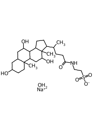 CC(CCC(=O)NCCS(=O)(=O)[O-])C1CCC2C3C(O)CC4CC(O)CCC4(C)C3CC(O)C12C.O.[Na+]